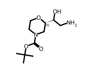 CC(C)(C)OC(=O)N1CCO[C@H](C(O)CN)C1